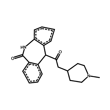 CN1CCC(CC(=O)C2c3ccccc3NC(=O)c3ccccc32)CC1